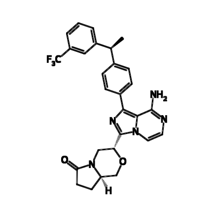 C[C@@H](c1ccc(-c2nc([C@H]3CN4C(=O)CC[C@@H]4CO3)n3ccnc(N)c23)cc1)c1cccc(C(F)(F)F)c1